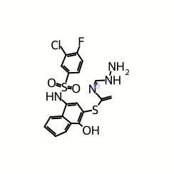 C=C(/N=C\NN)Sc1cc(NS(=O)(=O)c2ccc(F)c(Cl)c2)c2ccccc2c1O